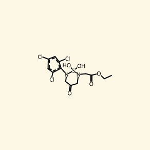 CCOC(=O)CN1CC(=O)CN(c2c(Cl)cc(Cl)cc2Cl)S1(O)O